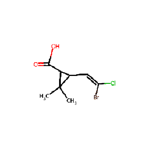 CC1(C)C(C=C(Cl)Br)C1C(=O)O